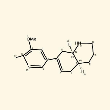 COc1cc(C2=CC[C@@H]3CCCN[C@@H]3C2)cnc1C